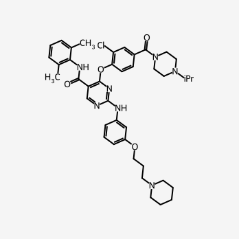 Cc1cccc(C)c1NC(=O)c1cnc(Nc2cccc(OCCCN3CCCCC3)c2)nc1Oc1ccc(C(=O)N2CCN(C(C)C)CC2)cc1Cl